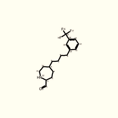 O=CC1CCC(CCCCc2cccc(C(F)(F)F)c2)CCN1